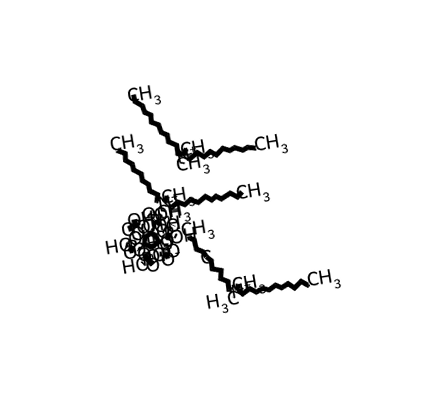 CCCCCCCCCCCC[N+](C)(C)CCCCCCCCCCCC.CCCCCCCCCCCC[N+](C)(C)CCCCCCCCCCCC.CCCCCCCCCCCC[N+](C)(C)CCCCCCCCCCCC.O=P([O-])([O-])O[C@H]1[C@@H](OP(=O)([O-])O)[C@@H](OP(=O)(O)O)[C@H](OP(=O)(O)O)[C@@H](OP(=O)(O)O)[C@@H]1OP(=O)(O)O